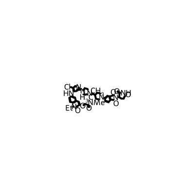 CCn1c(=O)c(OCC(=O)NC)cc2cc(Nc3cc(N4CCN(C(C)(C)C5CCN(c6ccc7c(c6)C(=O)N(C6CCC(=O)NC6=O)C7=O)CC5)CC4)ncc3Cl)ccc21